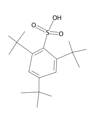 CC(C)(C)c1cc(C(C)(C)C)c(S(=O)(=O)O)c(C(C)(C)C)c1